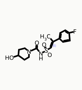 C/C(=C\S(=O)(=O)NC(=O)N1CCC(O)CC1)c1ccc(F)cc1